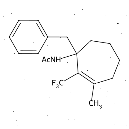 CC(=O)NC1(Cc2ccccc2)CCCCC(C)=C1C(F)(F)F